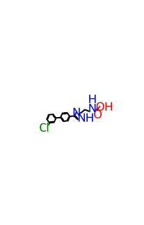 O=C(O)NCCc1nc(-c2ccc(-c3cccc(Cl)c3)cc2)c[nH]1